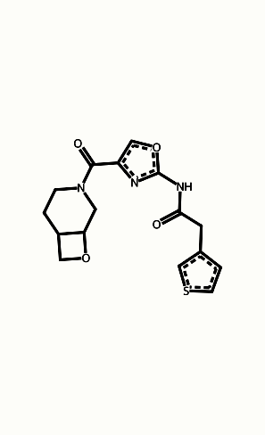 O=C(Cc1ccsc1)Nc1nc(C(=O)N2CCC3COC3C2)co1